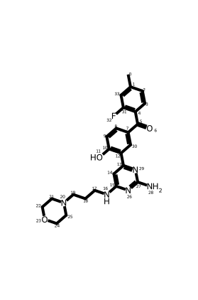 Cc1ccc(C(=O)c2ccc(O)c(-c3cc(NCCCN4CCOCC4)nc(N)n3)c2)c(F)c1